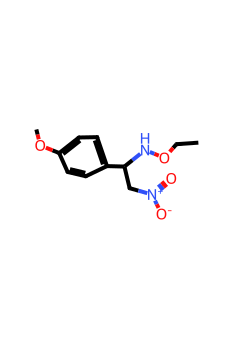 CCONC(C[N+](=O)[O-])c1ccc(OC)cc1